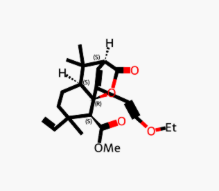 C=CC1(C)CC[C@H]2C(C)(C)[C@@H]3C=C(C#COCC)[C@]2(OC3=O)[C@H]1C(=O)OC